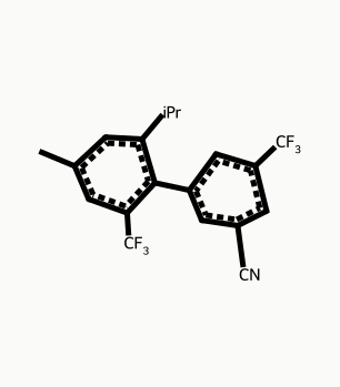 Cc1cc(C(C)C)c(-c2cc(C#N)cc(C(F)(F)F)c2)c(C(F)(F)F)c1